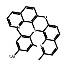 Cc1ccc2ccc3c(c2n1)N(c1c(C)cc(C(C)(C)C)cc1C)c1c(ccc2cccnc12)O3